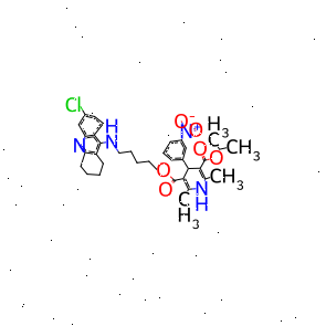 CC1=C(C(=O)OCCCCCNc2c3c(nc4cc(Cl)ccc24)CCCC3)C(c2cccc([N+](=O)[O-])c2)C(C(=O)OC(C)C)=C(C)N1